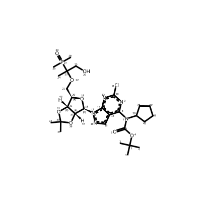 CC(C)(C)OC(=O)N(c1nc(Cl)nc2c1cnn2[C@@H]1O[C@H](COC(C)(CO)P(C)(C)=O)[C@H]2OC(C)(C)O[C@H]21)C1CCCC1